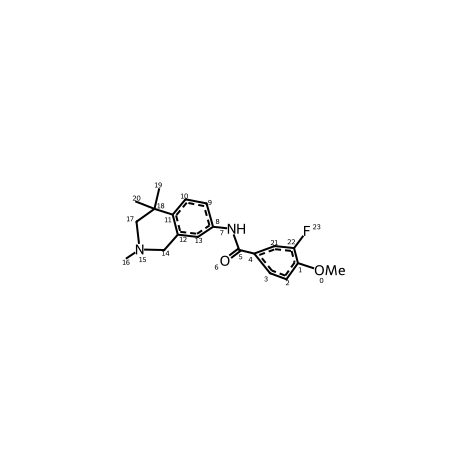 COc1ccc(C(=O)Nc2ccc3c(c2)CN(C)CC3(C)C)cc1F